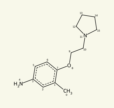 Cc1cc(N)ccc1OCCN1CCCC1